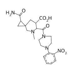 CN1CC2(CC(C(=O)O)C1C(=O)N1CCN(c3ccccc3[N+](=O)[O-])CC1)CC2C(N)=O